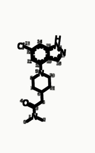 CN(C)C(=O)CC1CCN(c2cc(Cl)cc3[nH]ncc23)CC1